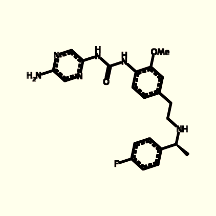 COc1cc(CCN[C@@H](C)c2ccc(F)cc2)ccc1NC(=O)Nc1cnc(N)cn1